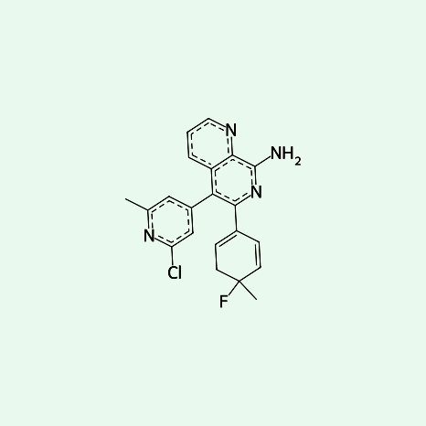 Cc1cc(-c2c(C3=CCC(C)(F)C=C3)nc(N)c3ncccc23)cc(Cl)n1